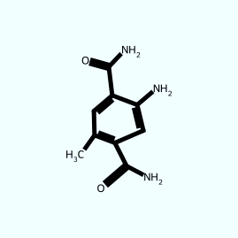 Cc1cc(C(N)=O)c(N)cc1C(N)=O